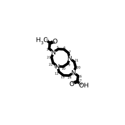 CC(=O)CN1CCCN2CCN(CCCN(CC(=O)O)CC2)CC1